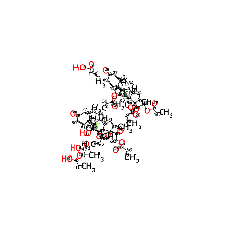 CCC(=O)O.CCC(=O)O.CCC(=O)O.CCC(=O)OCC(=O)[C@@]1(OC(=O)CC)[C@@H](C)C[C@H]2[C@@H]3CCC4=CC(=O)C=C[C@]4(C)C3(Cl)[C@@H](OC(=O)CC)C[C@@]21C.CCC(=O)OCC(=O)[C@@]1(OC(=O)CC)[C@@H](C)C[C@H]2[C@@H]3CCC4=CC(=O)C=C[C@]4(C)C3(F)[C@@H](O)C[C@@]21C